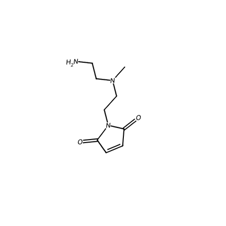 CN(CCN)CCN1C(=O)C=CC1=O